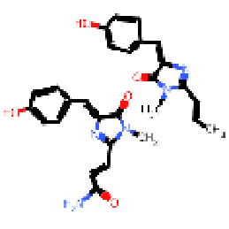 CC=CC1=NC(=Cc2ccc(O)cc2)C(=O)N1C.CN1C(=O)C(=Cc2ccc(O)cc2)N=C1C=CC(N)=O